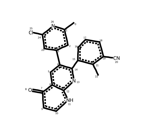 Cc1cc(-c2cc3c(=O)cc[nH]c3nc2-c2cccc(C#N)c2C)cc(Cl)n1